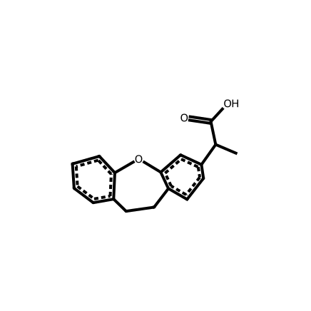 CC(C(=O)O)c1ccc2c(c1)Oc1ccccc1CC2